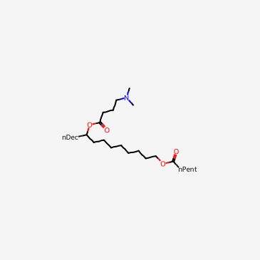 CCCCCCCCCCC(CCCCCCCCOC(=O)CCCCC)OC(=O)CCCN(C)C